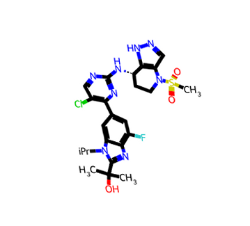 CC(C)n1c(C(C)(C)O)nc2c(F)cc(-c3nc(N[C@H]4CCN(S(C)(=O)=O)c5cn[nH]c54)ncc3Cl)cc21